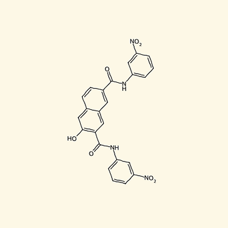 O=C(Nc1cccc([N+](=O)[O-])c1)c1ccc2cc(O)c(C(=O)Nc3cccc([N+](=O)[O-])c3)cc2c1